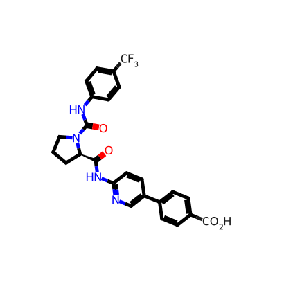 O=C(O)c1ccc(-c2ccc(NC(=O)[C@H]3CCCN3C(=O)Nc3ccc(C(F)(F)F)cc3)nc2)cc1